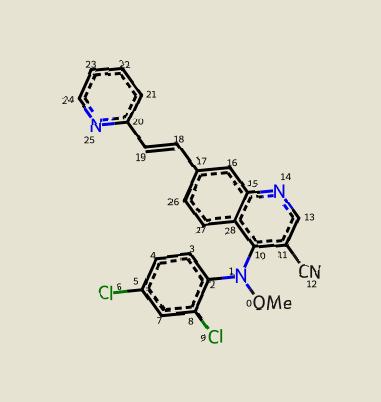 CON(c1ccc(Cl)cc1Cl)c1c(C#N)cnc2cc(/C=C/c3ccccn3)ccc12